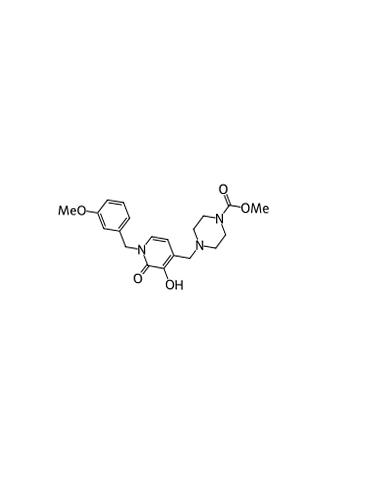 COC(=O)N1CCN(Cc2ccn(Cc3cccc(OC)c3)c(=O)c2O)CC1